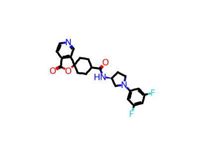 O=C1OC2(CCC(C(=O)N[C@H]3CCN(c4cc(F)cc(F)c4)C3)CC2)c2cnccc21